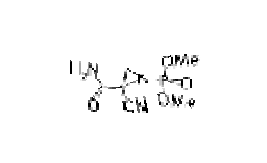 COP(=O)(OC)N1CC1(C#N)C(N)=O